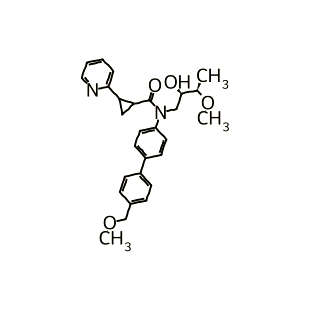 COCc1ccc(-c2ccc(N(C[C@@H](O)[C@@H](C)OC)C(=O)C3CC3c3ccccn3)cc2)cc1